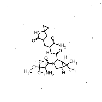 COC(C)(C)[C@H](N)C(=O)N1C[C@H]2[C@@H]([C@H]1C(=O)N[C@@H](C[C@@H]1CC3(CC3)NC1=O)C(N)=O)C2(C)C